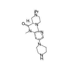 CC(C)N1CCN2c3ncc(N4CCNCC4)cc3N(C)C(=O)[C@H]2C1